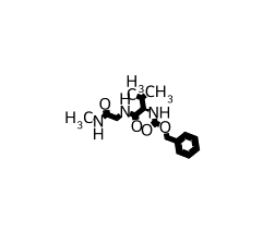 CNC(=O)CNC(=O)[C@H](NC(=O)OCc1ccccc1)C(C)C